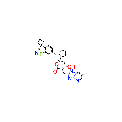 Cc1cnc2nc(CC3=C(O)CC(CCc4ccc(C5(C#N)CCC5)c(F)c4)(C4CCCC4)OC3=O)nn2c1